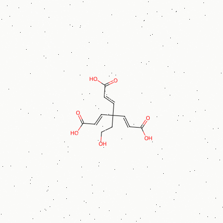 O=C(O)C=CC(C=CC(=O)O)(C=CC(=O)O)CCO